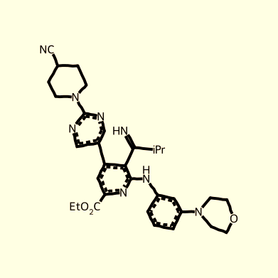 CCOC(=O)c1cc(-c2cnc(N3CCC(C#N)CC3)nc2)c(C(=N)C(C)C)c(Nc2cccc(N3CCOCC3)c2)n1